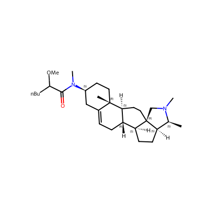 CCCCC(OC)C(=O)N(C)[C@H]1CC[C@@]2(C)C(=CC[C@H]3[C@@H]4CC[C@@H]5[C@H](C)N(C)C[C@@]54CC[C@@H]32)C1